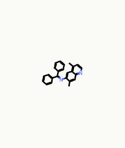 Cc1cc2nccc(C)c2cc1N=C(c1ccccc1)c1ccccc1